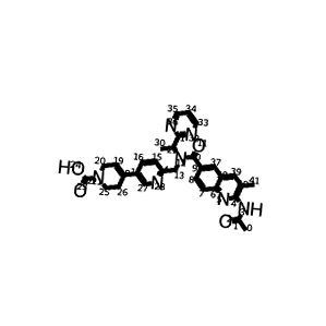 CC(=O)Nc1nc2ccc(C(=O)N(Cc3ccc(C4=CCN(C(=O)O)CC4)cn3)C(C)c3ncccn3)cc2cc1C